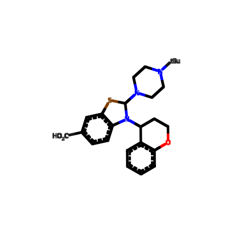 CC(C)(C)N1CCN(C2Sc3cc(C(=O)O)ccc3N2C2CCOc3ccccc32)CC1